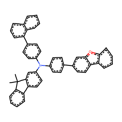 CC1(C)c2ccccc2-c2ccc(N(c3ccc(-c4ccc5c(c4)oc4ccccc45)cc3)c3ccc(-c4cccc5ccccc45)cc3)cc21